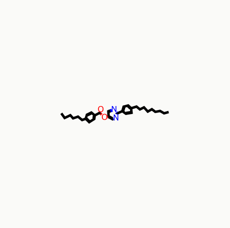 CCCCCCCCCc1ccc(-c2ncc(OC(=O)c3ccc(CCCCCC)cc3)cn2)cc1